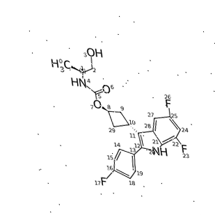 C[C@@H](CO)NC(=O)O[C@H]1C[C@H](c2c(-c3ccc(F)cc3)[nH]c3c(F)cc(F)cc32)C1